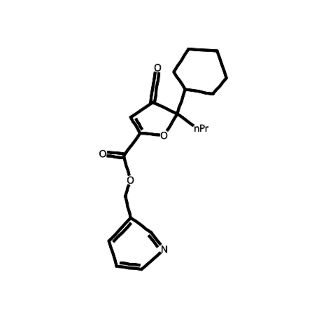 CCCC1(C2CCCCC2)OC(C(=O)OCc2cccnc2)=CC1=O